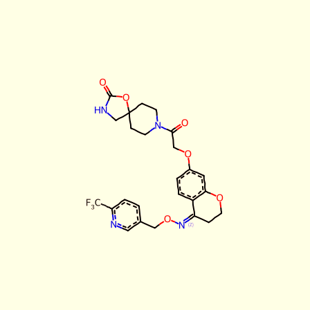 O=C1NCC2(CCN(C(=O)COc3ccc4c(c3)OCC/C4=N/OCc3ccc(C(F)(F)F)nc3)CC2)O1